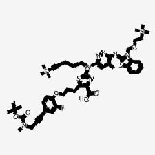 Cc1cc(N(CCCC#C[Si](C)(C)C)c2nc(C(=O)O)c(CCCOc3ccc(C#CCN(C)C(=O)OC(C)(C)C)cc3F)s2)nnc1/N=c1\sc2ccccc2n1COCC[Si](C)(C)C